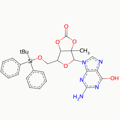 CC12OC(=O)OC1C(CO[Si](c1ccccc1)(c1ccccc1)C(C)(C)C)OC2n1cnc2c(O)nc(N)nc21